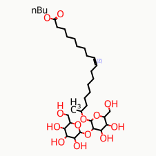 CCCCOC(=O)CCCCCCC/C=C\CCCCCCC(C)OC1OC(CO)C(O)C(O)C1OC1OC(CO)C(O)C(O)C1O